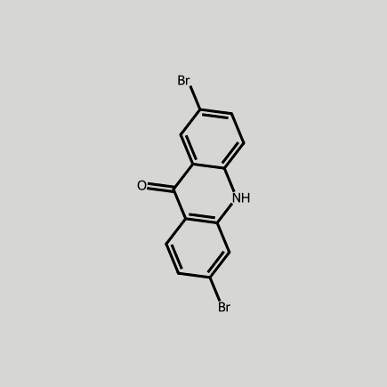 O=c1c2ccc(Br)cc2[nH]c2ccc(Br)cc12